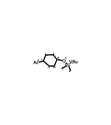 CC(=O)C1CCC(O[Si](C)(C)C(C)(C)C)CC1